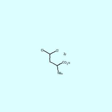 CCCCC(CC(Cl)Cl)C(=O)O.[Zr]